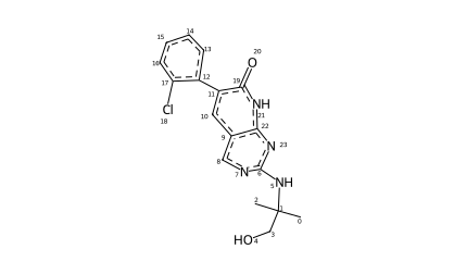 CC(C)(CO)Nc1ncc2cc(-c3ccccc3Cl)c(=O)[nH]c2n1